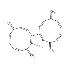 C=c1ccccc(=C)nc(-c2ccc(=C)ccccc(=C)c2C)cc1